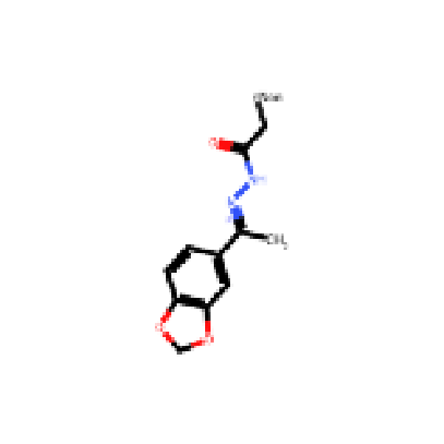 CCCCCCCCCCC(=O)N/N=C(\C)c1ccc2c(c1)OCO2